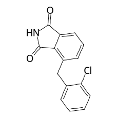 O=C1NC(=O)c2c(Cc3ccccc3Cl)cccc21